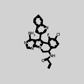 C=CC(=O)NC1Cn2c(c(-c3cnc4ccccc4c3)c3c(N)ncnc32)-c2c1ccc(Cl)c2F